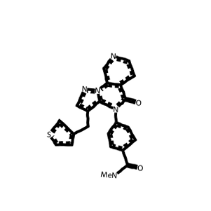 CNC(=O)c1ccc(-n2c(=O)c3ccncc3n3ncc(Cc4ccsc4)c23)cc1